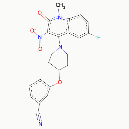 Cn1c(=O)c([N+](=O)[O-])c(N2CCC(Oc3cccc(C#N)c3)CC2)c2cc(F)ccc21